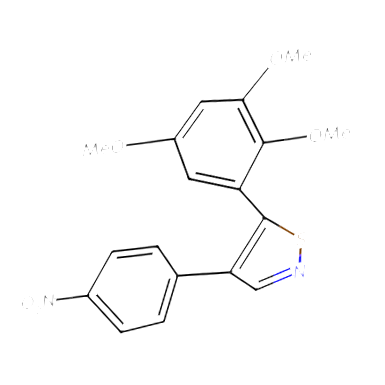 COc1cc(OC)c(OC)c(-c2sncc2-c2ccc([N+](=O)[O-])cc2)c1